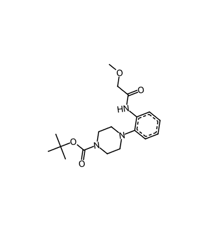 COCC(=O)Nc1ccccc1N1CCN(C(=O)OC(C)(C)C)CC1